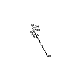 Nc1nc(=O)n([C@@H]2O[C@H](CO)[C@@H](O)[C@@H]2O)cc1C(=O)CCCCCCCCCCCCCCCO